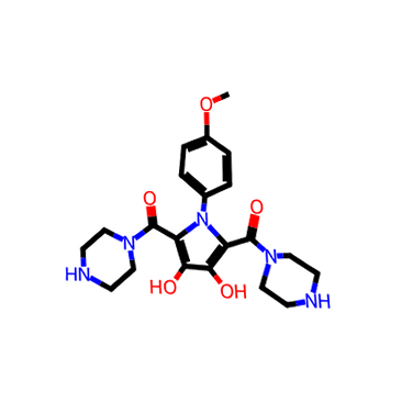 COc1ccc(-n2c(C(=O)N3CCNCC3)c(O)c(O)c2C(=O)N2CCNCC2)cc1